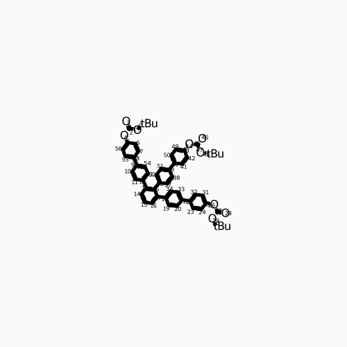 CC(C)(C)OC(=O)Oc1ccc(-c2ccc(-c3cccc(-c4ccc(-c5ccc(OC(=O)OC(C)(C)C)cc5)cc4)c3-c3ccc(-c4ccc(OC(=O)OC(C)(C)C)cc4)cc3)cc2)cc1